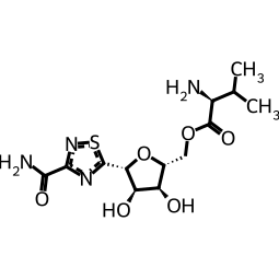 CC(C)[C@H](N)C(=O)OC[C@H]1O[C@@H](c2nc(C(N)=O)ns2)[C@H](O)[C@@H]1O